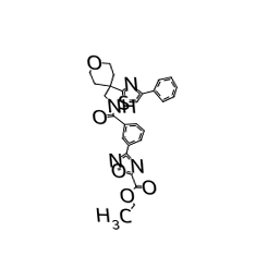 CCOC(=O)c1nc(-c2cccc(C(=O)NCC3(c4nc(-c5ccccc5)cs4)CCOCC3)c2)no1